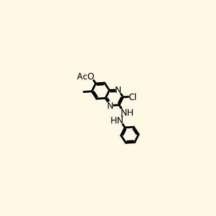 CC(=O)Oc1cc2nc(Cl)c(NNc3ccccc3)nc2cc1C